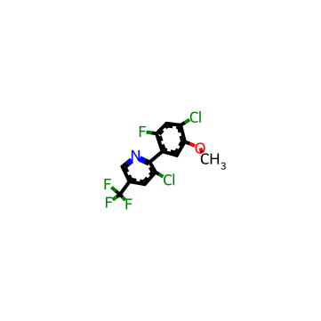 COc1cc(-c2ncc(C(F)(F)F)cc2Cl)c(F)cc1Cl